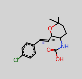 CC1(C)CCC(NC(=O)O)[C@@H](/C=C/c2ccc(Cl)cc2)O1